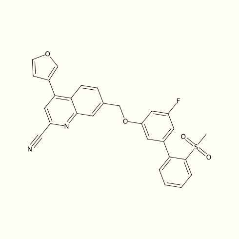 CS(=O)(=O)c1ccccc1-c1cc(F)cc(OCc2ccc3c(-c4ccoc4)cc(C#N)nc3c2)c1